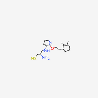 Cc1cccc(CCOc2ncccc2NCC(N)CS)c1C